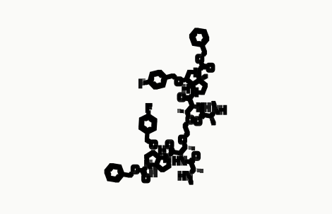 CN[C@@H](C)C(=O)N[C@H](C(=O)N1CC[C@@H]2[C@H]1[C@@H](OCc1ccc(F)cc1)CN2C(=O)OCc1ccccc1)[C@@H](C)OCCO[C@H](C)[C@H](NC(=O)[C@H](C)NC)C(=O)N1CC[C@]2(C)[C@H]1[C@@H](OCc1ccc(F)cc1)CN2C(=O)OCc1ccccc1